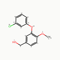 COc1ccc(CO)cc1Oc1cccc(Cl)c1